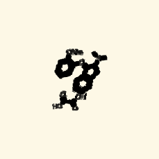 COc1ccccc1OC1c2ccccc2CC1N(C)C.O=C(O)C(=O)O